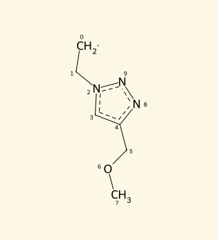 [CH2]Cn1cc(COC)nn1